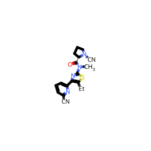 CCc1sc(N(C)C(=O)[C@@H]2CCCN2C#N)nc1-c1cccc(C#N)n1